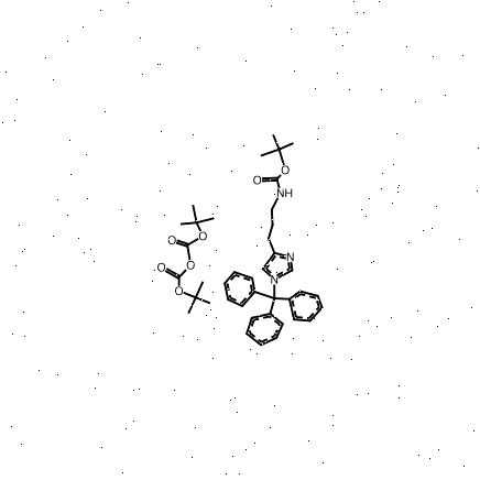 CC(C)(C)OC(=O)NCCCc1cn(C(c2ccccc2)(c2ccccc2)c2ccccc2)cn1.CC(C)(C)OC(=O)OC(=O)OC(C)(C)C